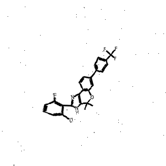 CC1(C)Oc2cc(-c3ccc(C(F)(F)F)cc3)ccc2-c2nc(-c3c(F)cccc3Cl)[nH]c21